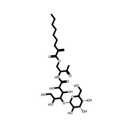 C=C(CCCCCCC)C(=O)OCC(NC(=O)C(O)C(O)C(O[C@@H]1OC(CO)[C@H](O)[C@H](O)C1O)C(O)CO)C(C)=O